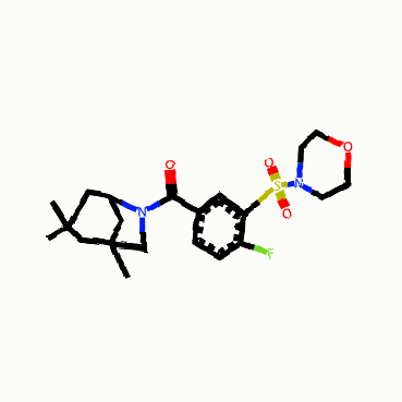 CC1(C)CC2CC(C)(CN2C(=O)c2ccc(F)c(S(=O)(=O)N3CCOCC3)c2)C1